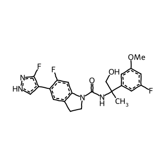 COc1cc(F)cc(C(C)(CO)NC(=O)N2CCc3cc(-c4c[nH]nc4F)c(F)cc32)c1